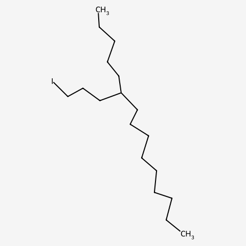 CCCCCCCCCC(CCCI)CCCCC